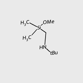 CO[Si](C)(C)CNC(C)(C)C